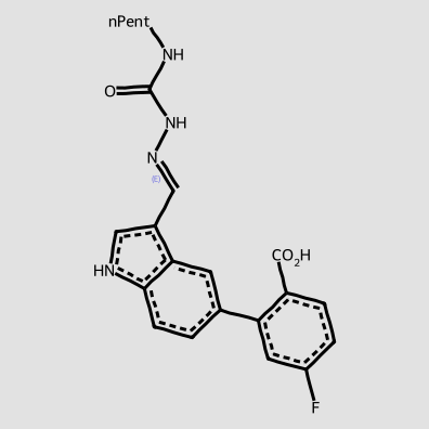 CCCCCNC(=O)N/N=C/c1c[nH]c2ccc(-c3cc(F)ccc3C(=O)O)cc12